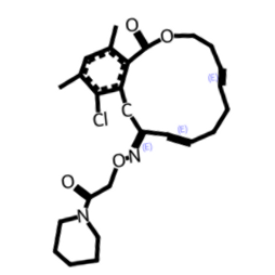 Cc1cc(C)c2c(c1Cl)CC(=N\OCC(=O)N1CCCCC1)/C=C/CC/C=C/CCOC2=O